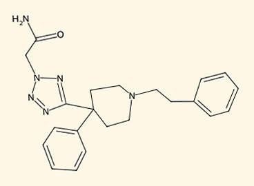 NC(=O)Cn1nnc(C2(c3ccccc3)CCN(CCc3ccccc3)CC2)n1